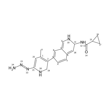 CC1=C(c2ccc3c(c2)=CNC(NC(=O)C2CC2)C=3)CNC(N=NN)=C1